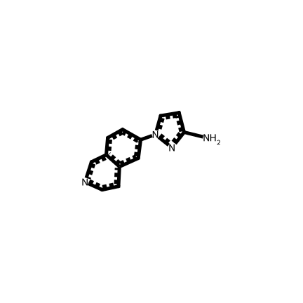 Nc1ccn(-c2ccc3cnccc3c2)n1